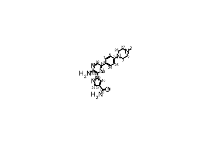 CN1CCN(c2ccc(-c3cnc(N)c(-n4cc(C(N)=O)cn4)n3)cc2)CC1